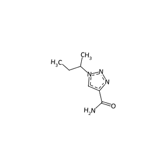 CCC(C)n1cc(C(N)=O)nn1